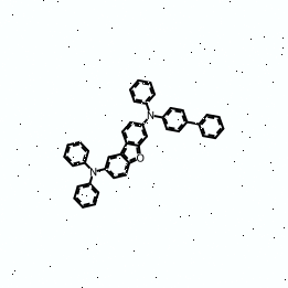 c1ccc(-c2ccc(N(c3ccccc3)c3ccc4c(c3)oc3ccc(N(c5ccccc5)c5ccccc5)cc34)cc2)cc1